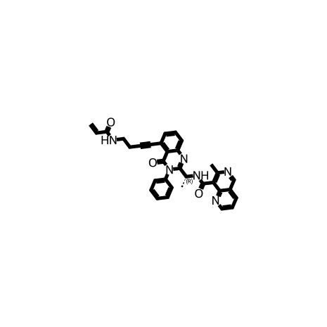 C=CC(=O)NCCC#Cc1cccc2nc([C@@H](C)NC(=O)c3c(C)ncc4cccnc34)n(-c3ccccc3)c(=O)c12